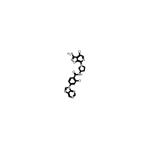 Nc1noc2c(N3CCC(NC(=O)c4ccc(-n5cnc6cncnc65)cc4Cl)C3)ncc(Cl)c12